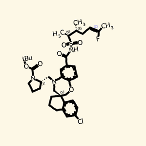 C/C(F)=C/C[C@@H](C)[C@H](C)S(=O)(=O)NC(=O)c1ccc2c(c1)N(C[C@@H]1CCCN1C(=O)OC(C)(C)C)C[C@@]1(CCCc3cc(Cl)ccc31)CO2